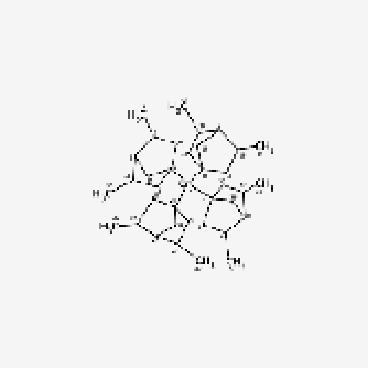 CC1C[C]2([Cr]([C]34CC(C)C(C3)C(C)C4)([C]34CC(C)C(C3)C(C)C4)[C]34CC(C)C(C3)C(C)C4)CC(C)C1C2